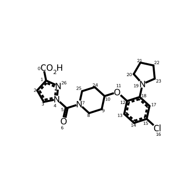 O=C(O)c1ccn(C(=O)N2CCC(Oc3ccc(Cl)cc3N3CCCC3)CC2)n1